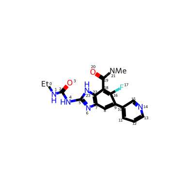 CCNC(=O)Nc1nc2cc(-c3cccnc3)c(F)c(C(=O)NC)c2[nH]1